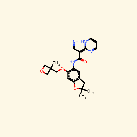 CC1(COc2cc3c(cc2NC(=O)/C(C=N)=C2\N=CC=CN2)CC(C)(C)O3)COC1